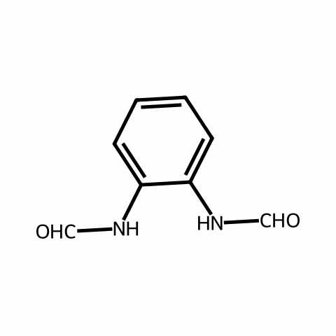 O=CNc1ccccc1NC=O